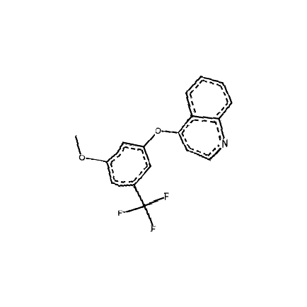 COc1cc(Oc2ccnc3ccccc23)cc(C(F)(F)F)c1